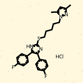 Cc1cc(C)n(CCCCCSc2nc(-c3ccc(F)cc3)c(-c3ccc(F)cc3)[nH]2)n1.Cl